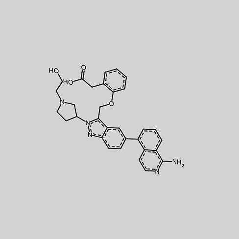 Nc1nccc2c(-c3ccc4nn(C5CCN(CCO)C5)c(COc5ccccc5CC(=O)O)c4c3)cccc12